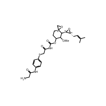 COC1C(OC(=O)NC(=O)CSc2ccc(NC(=O)CN)cc2)CC[C@]2(CO2)C1[C@H]1O[C@@H]1CC=C(C)C